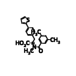 Cc1cc(C)cc(C(=O)N(C)[C@@H](Cc2ccc(-c3cccs3)cc2)C(=O)O)c1